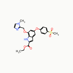 CCOC(=O)c1cc2cc(Oc3ccc(S(C)(=O)=O)cc3)cc(OCc3nccn3C)c2[nH]1